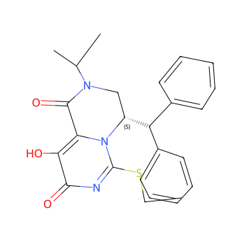 CCSc1nc(=O)c(O)c2n1[C@@H](C(c1ccccc1)c1ccccc1)CN(C(C)C)C2=O